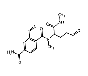 CNC(=O)C(CCC=O)N(C)C(=O)c1ccc(C(N)=O)cc1C=O